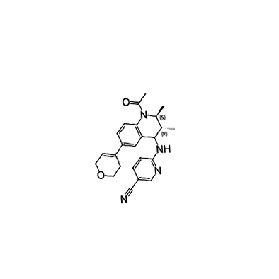 CC(=O)N1c2ccc(C3=CCOCC3)cc2C(Nc2ccc(C#N)cn2)[C@@H](C)[C@@H]1C